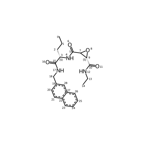 CCC[C@H](NC(=O)C1O[C@@H]1C(=O)NCC)C(=O)NCc1ccc2ccccc2c1